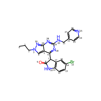 CCCn1cc2c(C3C(=O)Nc4ccc(Br)cc43)nc(NCc3ccncc3)nc2n1